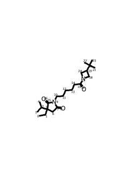 CCC1(C(C)C)CC(=O)N(CCCCCC(=O)N2CC(C(C)(C)C)C2)C1=O